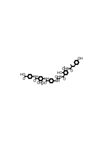 COc1c(NC(=O)/C(C)=C/c2ccc(O)cc2)ccc(C(=O)NCC(=O)Nc2ccc(C(=O)Nc3ccc(C(=O)Nc4ccc(C(=O)O)cc4)c(O)c3OC)cc2)c1O